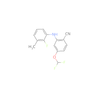 Cc1cccc(Nc2cc(OC(F)F)ccc2C#N)c1F